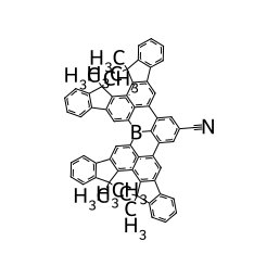 CC1(C)c2ccccc2-c2cc3c4c(cc5c(c4c21)C(C)(C)c1ccccc1-5)-c1cc(C#N)cc2c1B3c1cc3c(c4c5c(cc-2c14)-c1ccccc1C5(C)C)C(C)(C)c1ccccc1-3